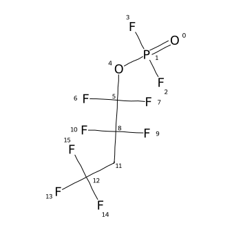 O=P(F)(F)OC(F)(F)C(F)(F)CC(F)(F)F